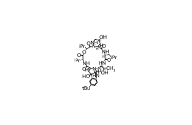 CC(C)C[C@@H]1NC(=O)[C@H]2C[C@@H](O)CNN2C(=O)C(C(C)C)OC(=O)C(C(C)C)NC(=O)[C@@H]2C[C@@]3(O)c4cc(C(C)(C)C)ccc4N[C@H]3N2C(=O)[C@@H]([C@H](C)O)NC1=O